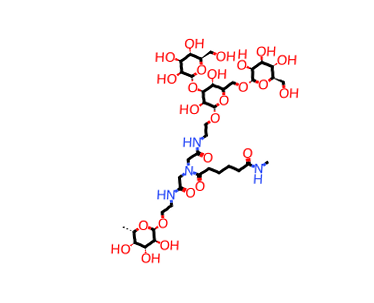 CNC(=O)CCCCC(=O)N(CC(=O)NCCO[C@@H]1O[C@@H](C)[C@@H](O)[C@@H](O)[C@@H]1O)CC(=O)NCCO[C@H]1OC(CO[C@H]2O[C@H](CO)[C@@H](O)[C@H](O)[C@@H]2O)[C@@H](O)[C@H](O[C@H]2O[C@H](CO)[C@@H](O)[C@H](O)[C@@H]2O)[C@@H]1O